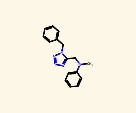 CN(Cc1nnnn1Cc1ccccc1)c1ccccc1